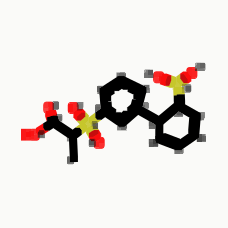 CC(C(=O)O)S(=O)(=O)c1cccc(C2C=CC=CC2=S(=O)=O)c1